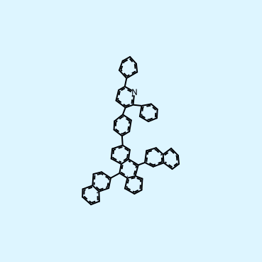 c1ccc(-c2ccc(-c3ccc(-c4ccc5c(-c6ccc7ccccc7c6)c6ccccc6c(-c6ccc7ccccc7c6)c5c4)cc3)c(-c3ccccc3)n2)cc1